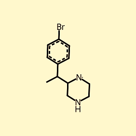 CC(c1ccc(Br)cc1)C1CNCC[N]1